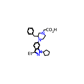 CCc1nn(C2CCCC2)c2cc(N3CCN(CC(=O)O)CC3Cc3ccccc3)ccc12